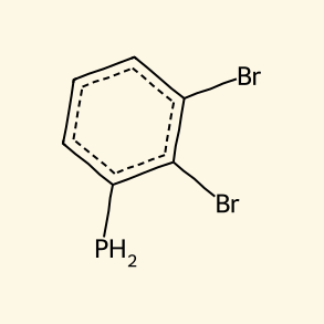 Pc1cccc(Br)c1Br